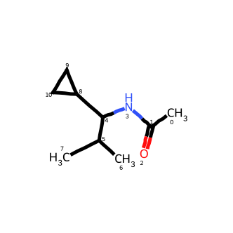 CC(=O)NC(C(C)C)C1CC1